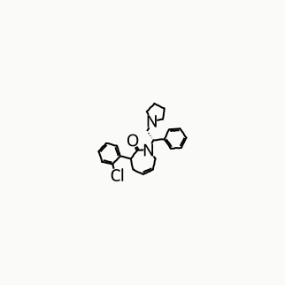 O=C1C(c2ccccc2Cl)CC=CCN1[C@H](CN1CCCC1)c1ccccc1